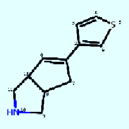 C1=C(c2ccsc2)CC2CNCC12